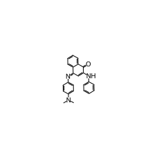 CN(C)c1ccc(N=C2C=C(Nc3ccccc3)C(=O)c3ccccc32)cc1